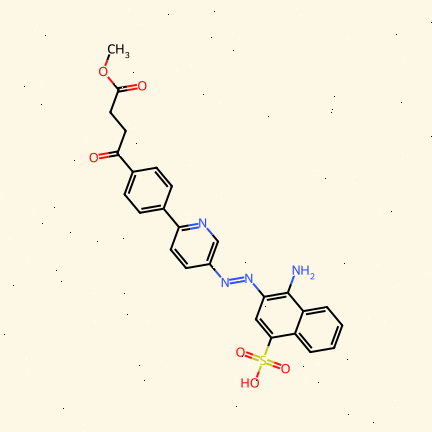 COC(=O)CCC(=O)c1ccc(-c2ccc(/N=N/c3cc(S(=O)(=O)O)c4ccccc4c3N)cn2)cc1